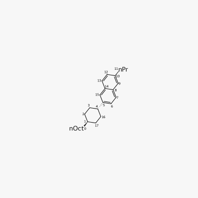 CCCCCCCC[C@H]1CC[C@H](c2ccc3cc(CCC)ccc3c2)CC1